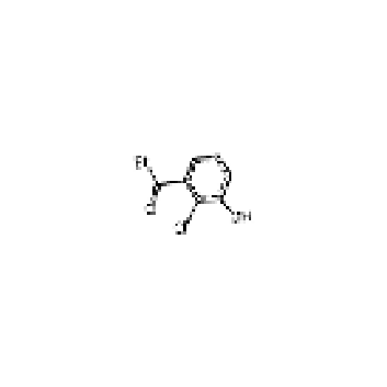 CCC(=O)c1cccc(O)c1Cl